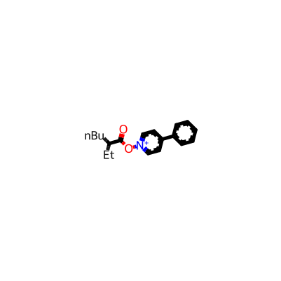 CCCCC(CC)C(=O)O[n+]1ccc(-c2ccccc2)cc1